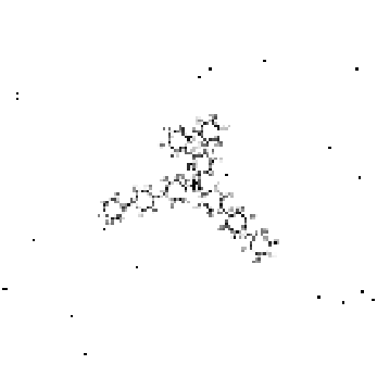 c1ccc(-c2ccc(-c3ccc(N(c4ccc(-c5ccc(-c6ccccc6)cc5)cc4)c4ccc(-c5ccccc5-c5ccccc5)cn4)cc3)cc2)cc1